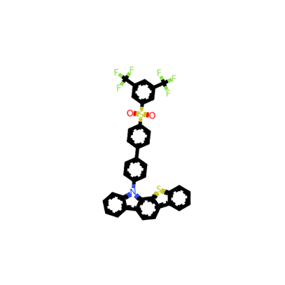 O=S(=O)(c1ccc(-c2ccc(-n3c4ccccc4c4ccc5c6ccccc6sc5c43)cc2)cc1)c1cc(C(F)(F)F)cc(C(F)(F)F)c1